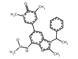 Cc1cc(-c2cc(N[S+](C)[O-])c3nc(C)n(C(C)c4ccccc4)c3c2)cn(C)c1=O